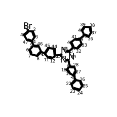 Brc1ccc(-c2cccc(-c3ccc(-c4nc(-c5ccc(-c6ccccc6)cc5)nc(-c5ccc(-c6ccccc6)cc5)n4)cc3)c2)cc1